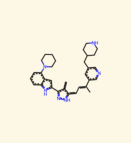 C=c1c(-c2cc3c(N4CCCCC4)cccc3[nH]2)n[nH]/c1=C/C=C(\C)c1cncc(CC2CCNCC2)c1